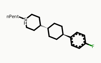 CCCCC[SiH]1CCC([C@H]2CC[C@H](c3ccc(F)cc3)CC2)CC1